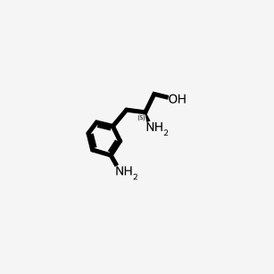 Nc1cccc(C[C@H](N)CO)c1